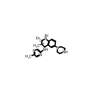 CC[C@H]1[C@H](C)[C@@H](Nc2cnc(C)cn2)c2cc(N3CCNCC3)ccc2N1C(C)=O